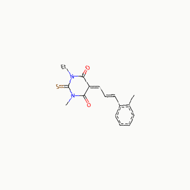 CCN1C(=O)/C(=C/C=C/c2ccccc2C)C(=O)N(C)C1=S